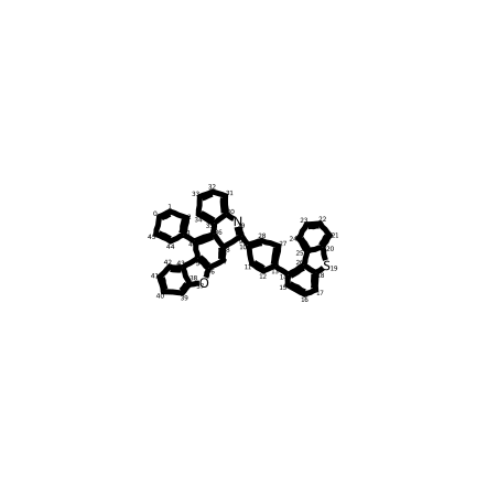 c1ccc(-c2c3c(cc4c(-c5ccc(-c6cccc7sc8ccccc8c67)cc5)nc5ccccc5c24)oc2ccccc23)cc1